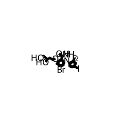 NC(=O)c1c(Nc2ccc(I)cc2F)cc(Br)cc1OCCC(O)CO